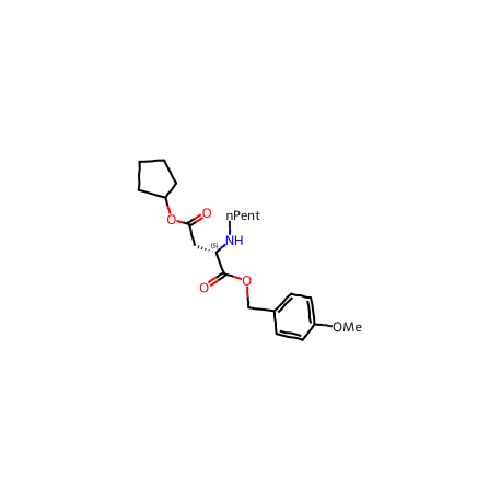 CCCCCN[C@@H](CC(=O)OC1CCCC1)C(=O)OCc1ccc(OC)cc1